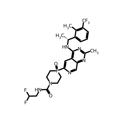 Cc1nc(N[C@H](C)c2cccc(C(F)(F)F)c2C)c2cc(P3(=O)CCN(C(=O)NCC(F)F)CC3)ncc2n1